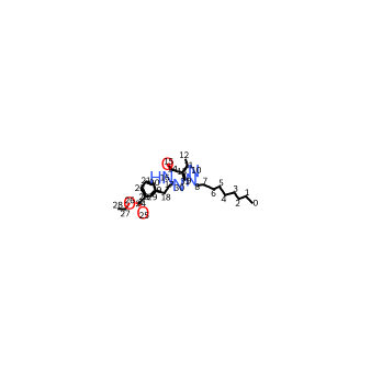 CCCCCCCCCn1nc(C)c2c(=O)[nH]c(Cc3cccc(C(=O)OCC)c3)nc21